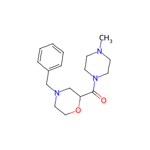 CN1CCN(C(=O)C2CN(Cc3ccccc3)CCO2)CC1